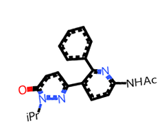 CC(=O)Nc1ccc(-c2ccc(=O)n(C(C)C)n2)c(-c2ccccc2)n1